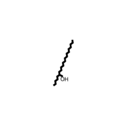 CCCCCCCCCCCCCCCC(CO)CCCCC